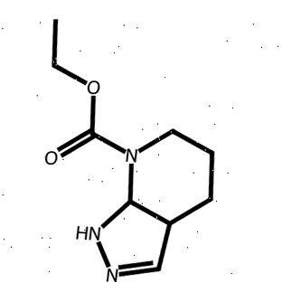 CCOC(=O)N1CCCC2C=NNC21